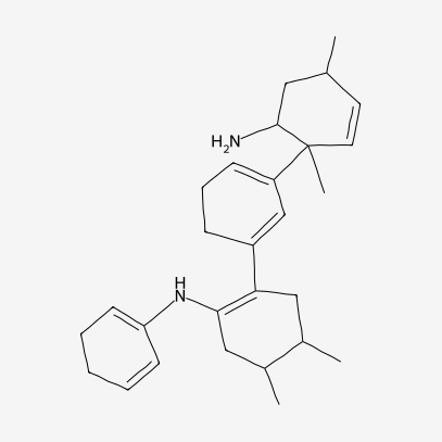 CC1C=CC(C)(C2=CCCC(C3=C(NC4=CCCC=C4)CC(C)C(C)C3)=C2)C(N)C1